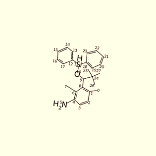 Cc1ccc(N)c(C)c1C(O[SiH](c1ccccc1)c1ccccc1)C(C)(C)C